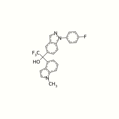 Cn1ccc2c(C(O)(c3ccc4c(cnn4-c4ccc(F)cc4)c3)C(F)(F)F)cccc21